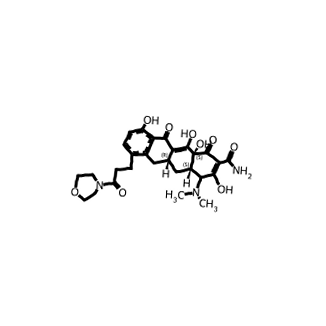 CN(C)C1C(O)=C(C(N)=O)C(=O)[C@@]2(O)C(O)=C3C(=O)c4c(O)ccc(CCC(=O)N5CCOCC5)c4C[C@H]3C[C@@H]12